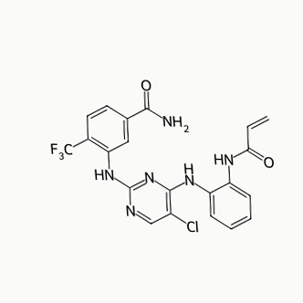 C=CC(=O)Nc1ccccc1Nc1nc(Nc2cc(C(N)=O)ccc2C(F)(F)F)ncc1Cl